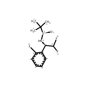 CC(C)(C)[S@@+]([O-])N[C@H](c1ccccc1F)C(F)F